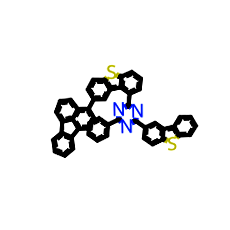 c1ccc(-c2nc(-c3ccc4sc5ccccc5c4c3)nc(-c3cccc4sc5ccc(-c6ccc7c8c(cccc68)-c6ccccc6-7)cc5c34)n2)cc1